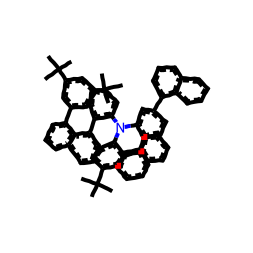 CC(C)(C)c1cc(-c2cccc3cccc(-c4ccccc4N(c4ccc(C(C)(C)C)cc4-c4ccccc4)c4cc(-c5cccc6ccccc56)ccc4-c4ccccc4)c23)cc(C(C)(C)C)c1